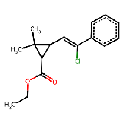 CCOC(=O)C1C(C=C(Cl)c2ccccc2)C1(C)C